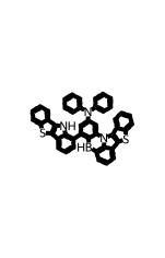 B1c2c(-c3cccc4c3[nH]c3c5ccccc5sc43)cc(N(c3ccccc3)c3ccccc3)cc2-n2c3c1cccc3c1sc3ccccc3c12